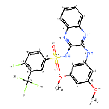 COc1cc(Nc2nc3ccccc3nc2NS(=O)(=O)c2ccc(F)c(C(F)(F)F)c2)cc(OC)c1